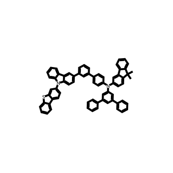 CC1(C)c2ccccc2-c2cc(N(c3ccc(-c4cccc(-c5ccc6c(c5)c5ccccc5n6-c5ccc6c(c5)sc5ccccc56)c4)cc3)c3cc(-c4ccccc4)cc(-c4ccccc4)c3)ccc21